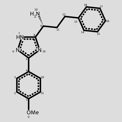 COc1ccc(-c2n[nH]c([C@H](N)CCc3ccccc3)n2)cc1